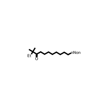 CCCCCCCCCCCCCCCCCC(=O)C(C)(C)CC